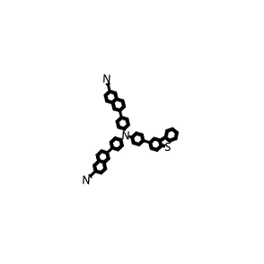 N#Cc1ccc2cc(-c3ccc(N(c4ccc(-c5ccc6cc(C#N)ccc6c5)cc4)c4ccc(-c5ccc6sc7ccccc7c6c5)cc4)cc3)ccc2c1